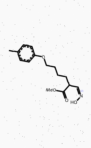 COC(=O)C(/C=N\O)CCCCOc1ccc(C)cc1